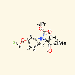 COC(=O)[C@@](C)(Cc1ccc(OCF)cc1)NC(=O)OC(C)C